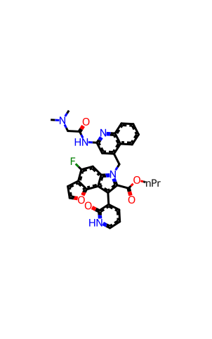 CCCOC(=O)c1c(-c2ccc[nH]c2=O)c2c3occc3c(F)cc2n1Cc1cc(NC(=O)CN(C)C)nc2ccccc12